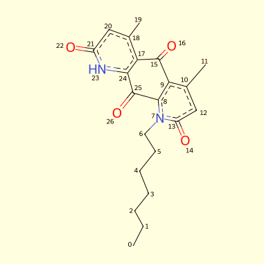 CCCCCCCn1c2c(c(C)cc1=O)C(=O)c1c(C)cc(=O)[nH]c1C2=O